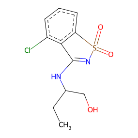 CCC(CO)NC1=NS(=O)(=O)c2cccc(Cl)c21